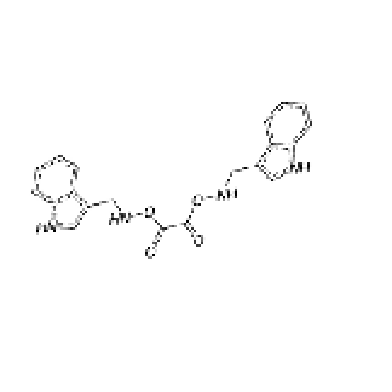 O=C(ONCc1c[nH]c2ccccc12)C(=O)ONCc1c[nH]c2ccccc12